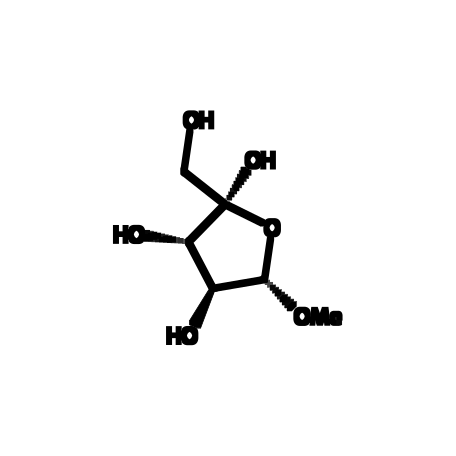 CO[C@H]1O[C@](O)(CO)[C@@H](O)[C@@H]1O